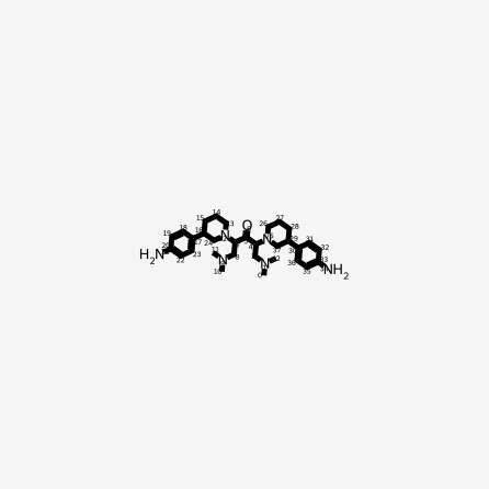 CN(C)CC(C(=O)C(CN(C)C)N1CCCC(c2ccc(N)cc2)C1)N1CCCC(c2ccc(N)cc2)C1